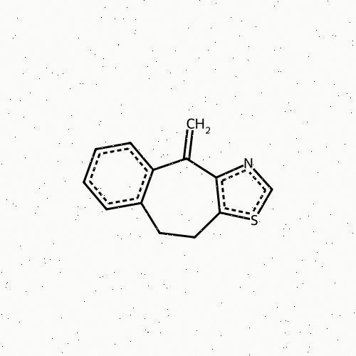 C=C1c2ccccc2CCc2scnc21